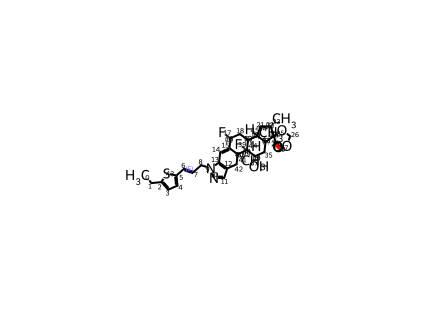 CCc1ccc(/C=C/Cn2ncc3c2C=C2[C@@H](F)C[C@H]4[C@@H]5C[C@H](C)[C@@]6(OCOC67COCO7)[C@@]5(C)C[C@H](O)[C@]4(F)[C@@]2(C)C3)s1